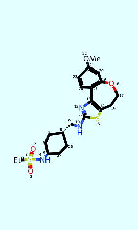 CCS(=O)(=O)N[C@H]1CC[C@H](CNc2nc3c(s2)CCOc2cc(OC)ccc2-3)CC1